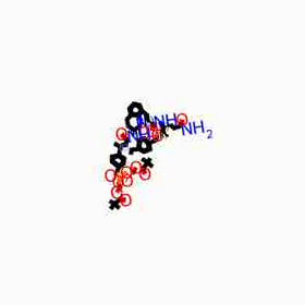 CCc1ccc(CO[C@H](C)[C@H](CCC(N)=O)NC(=O)[C@@H]2Cc3cccc4c3N2C(=O)[C@@H](NC(=O)/C=C(\C)c2ccc(C(=O)P(=O)(OCOC(=O)C(C)(C)C)OCOC(=O)C(C)(C)C)cc2)CC4)cc1